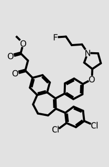 COC(=O)CC(=O)c1ccc2c(c1)CCCC(c1ccc(Cl)cc1Cl)=C2c1ccc(OC2CCN(CCCF)C2)cc1